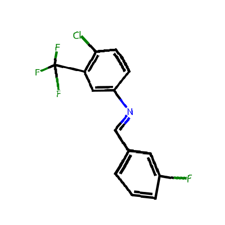 Fc1cccc(/C=N/c2ccc(Cl)c(C(F)(F)F)c2)c1